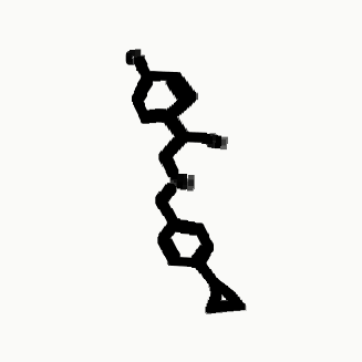 OC(CNCc1ccc(C2CC2)cc1)c1ccc(Cl)cc1